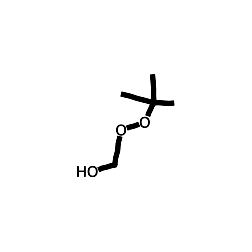 CC(C)(C)OOCO